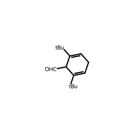 CC(C)(C)C1=CCC=C(C(C)(C)C)C1C=O